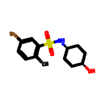 N#Cc1ccc(Br)cc1S(=O)(=O)N[C@H]1CC[C@@H](O)CC1